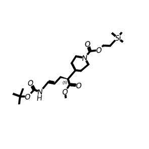 COC(=O)[C@@H](CC=CNC(=O)OC(C)(C)C)C1CCN(C(=O)OCC[Si](C)(C)C)CC1